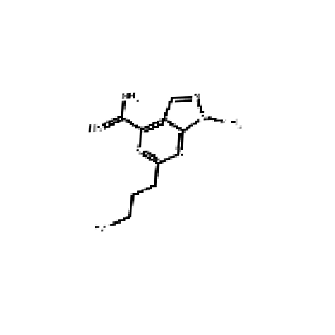 Cn1ncc2c(C(=N)N)nc(CCCC(F)(F)F)nc21